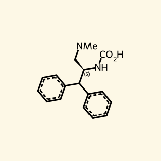 CNC[C@@H](NC(=O)O)C(c1ccccc1)c1ccccc1